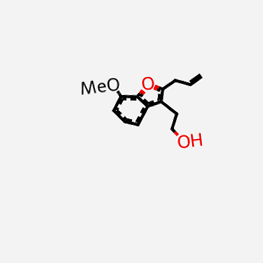 C=CCc1oc2c(OC)cccc2c1CCO